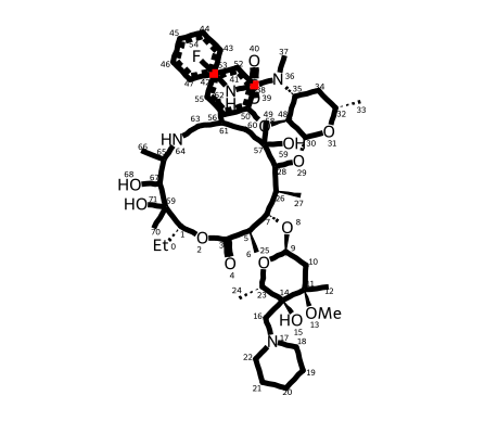 CC[C@H]1OC(=O)[C@H](C)[C@@H](O[C@H]2C[C@@](C)(OC)[C@](O)(CN3CCCCC3)[C@H](C)O2)[C@H](C)C(O[C@H]2O[C@@H](C)C[C@@H](N(C)S(=O)(=O)Nc3ccccc3)[C@@H]2Oc2ccc(F)cc2)C(C)(O)CC(C)CNC(C)C(O)C1(C)O